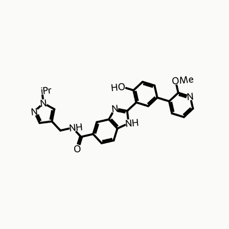 COc1ncccc1-c1ccc(O)c(-c2nc3cc(C(=O)NCc4cnn(C(C)C)c4)ccc3[nH]2)c1